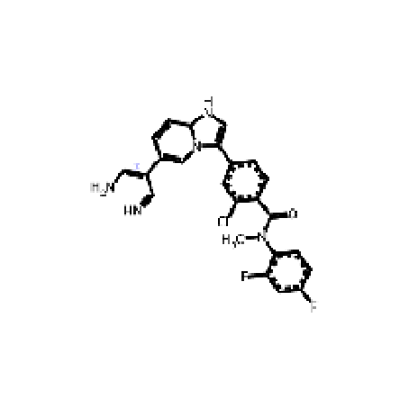 CN(C(=O)c1ccc(C2=CNC3C=CC(/C(C=N)=C/N)=CN23)cc1Cl)c1ccc(F)cc1F